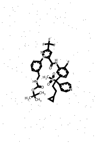 CC(C)(C)OC(=O)NCc1cccc(-n2nc(C(F)(F)F)cc2C(=O)Nc2cc(C(CCC3CC3)(c3ccncc3)S(C)(=O)=O)ccc2F)c1